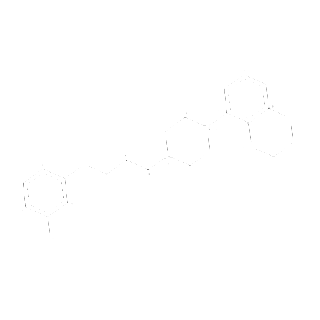 Clc1cccc(SCCCN2CCN(c3cccc4c3OCCO4)CC2)c1